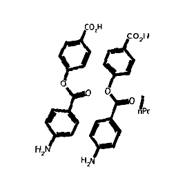 CCCC.Nc1ccc(C(=O)Oc2ccc(C(=O)O)cc2)cc1.Nc1ccc(C(=O)Oc2ccc(C(=O)O)cc2)cc1